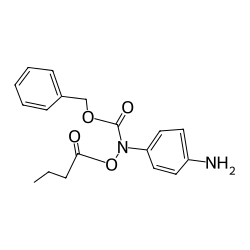 CCCC(=O)ON(C(=O)OCc1ccccc1)c1ccc(N)cc1